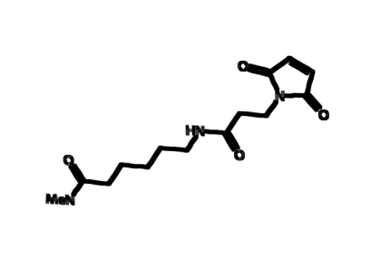 CNC(=O)CCCCCNC(=O)CCN1C(=O)C=CC1=O